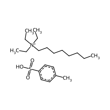 CCCCCCCC[N+](CC)(CC)CC.Cc1ccc(S(=O)(=O)O)cc1